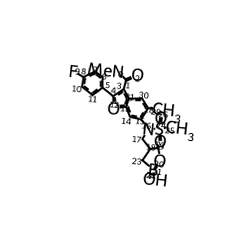 CNC(=O)c1c(-c2ccc(F)cc2)oc2cc(N(CC3COB(O)C3)S(C)(=O)=O)c(C)cc12